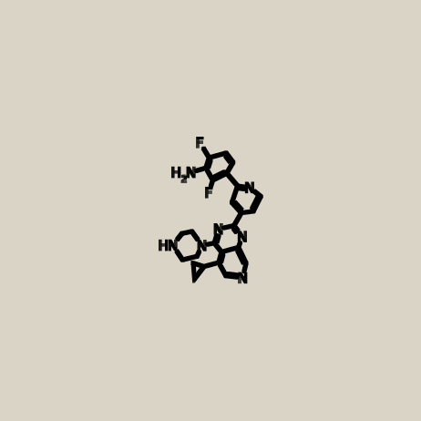 Nc1c(F)ccc(-c2cc(-c3nc(N4CCNCC4)c4c(C5CC5)cncc4n3)ccn2)c1F